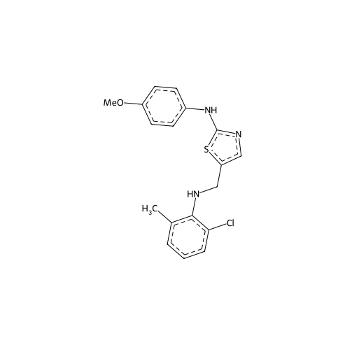 COc1ccc(Nc2ncc(CNc3c(C)cccc3Cl)s2)cc1